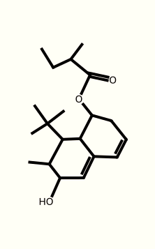 CCC(C)C(=O)OC1CC=CC2=CC(O)C(C)C(C(C)(C)C)C21